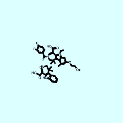 CC1(C)CNC=C(C(=O)O)c2[nH]c3ccccc3c21.CCn1c2c(c3c(C)cc(OCCOC)cc31)C(C)(C)CN(C(=O)c1ccc(F)c(F)c1)C=C2C(=O)O